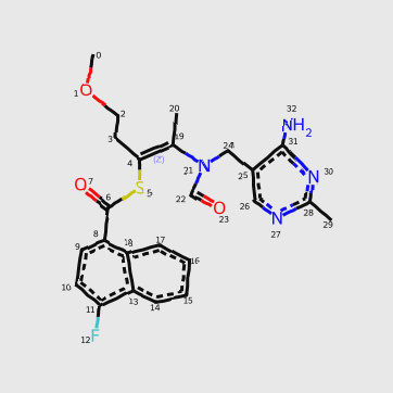 COCC/C(SC(=O)c1ccc(F)c2ccccc12)=C(\C)N(C=O)Cc1cnc(C)nc1N